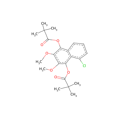 COc1c(OC)c(OC(=O)C(C)(C)C)c2c(Cl)cccc2c1OC(=O)C(C)(C)C